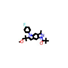 COCC(C)(C)c1cc2cc3c(cc2n1-c1ccc(F)cc1)c(C)nn3C(=O)C(C)(C)C